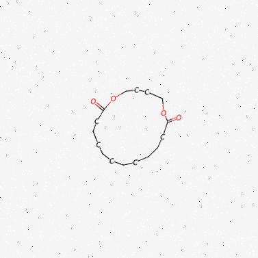 O=C1CCCCCCCCCCC(=O)OCCCCO1